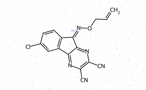 C=CCO/N=C1/c2ccc(Cl)cc2-c2nc(C#N)c(C#N)nc21